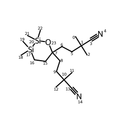 CC(C)(C#N)CCC1(CCC(C)(C)C#N)CC[Si](C)(C)[Si](C)(C)O1